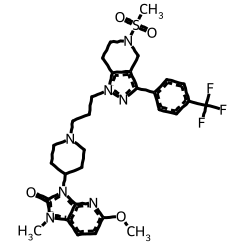 COc1ccc2c(n1)n(C1CCN(CCCn3nc(-c4ccc(C(F)(F)F)cc4)c4c3CCN(S(C)(=O)=O)C4)CC1)c(=O)n2C